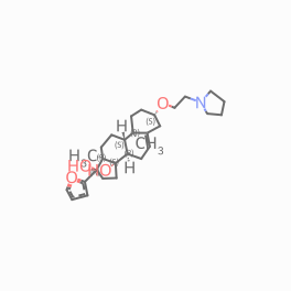 C[C@]12CC[C@H]3[C@@H](CC=C4C[C@@H](OCCN5CCCC5)CC[C@@]43C)[C@@]1(O)CC[C@]2(O)c1ccco1